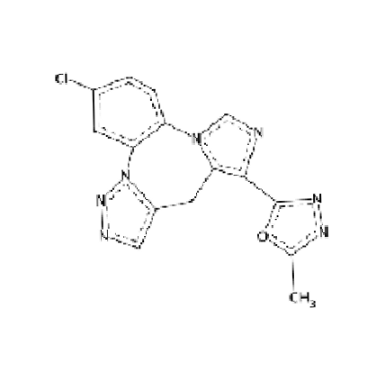 Cc1nnc(-c2ncn3c2Cc2cnnn2-c2cc(Cl)ccc2-3)o1